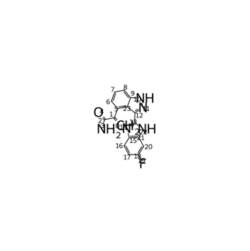 C=C(C(N)=O)c1cccc2[nH]nc(-c3nc4ccc(F)cc4[nH]3)c12